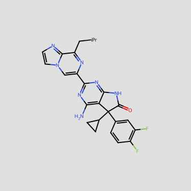 CC(C)Cc1nc(-c2nc(N)c3c(n2)NC(=O)C3(c2ccc(F)c(F)c2)C2CC2)cn2ccnc12